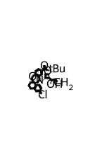 C=C[C@@H](O)[C@@H]1CC[C@H]1CN1C[C@@]2(CCCc3cc(Cl)ccc32)COc2ccc(C(=O)OC(C)(C)C)cc21